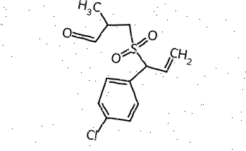 C=CC(c1ccc(Cl)cc1)S(=O)(=O)CC(C)C=O